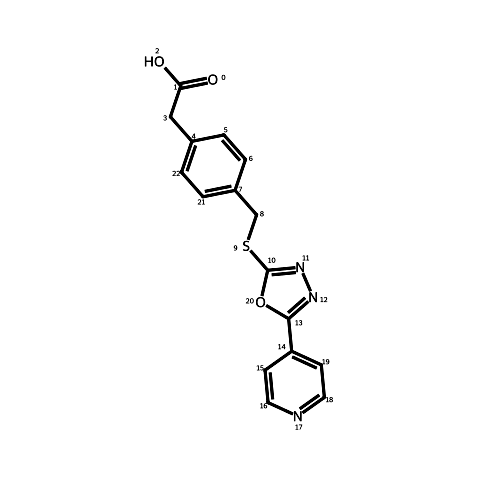 O=C(O)Cc1ccc(CSc2nnc(-c3ccncc3)o2)cc1